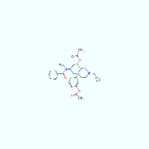 CC(=O)Oc1cccc(C23CCN(CC4CC4)CC2C(OC(C)=O)CC(N(C)C(=O)c2ccccc2)C3)c1